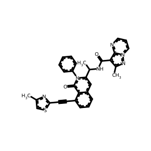 Cc1csc(C#Cc2cccc3cc(C(C)NC(=O)c4c(C)nn5cccnc45)n(-c4ccccc4)c(=O)c23)n1